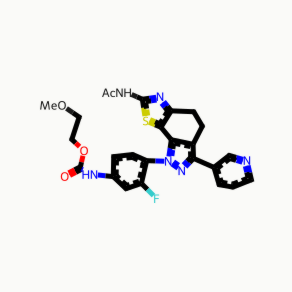 COCCOC(=O)Nc1ccc(-n2nc(-c3cccnc3)c3c2-c2sc(NC(C)=O)nc2CC3)c(F)c1